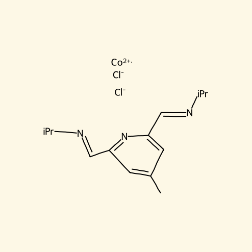 Cc1cc(C=NC(C)C)nc(C=NC(C)C)c1.[Cl-].[Cl-].[Co+2]